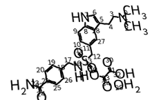 CN(C)CCc1c[nH]c2ccc(CS(=O)(=O)NCc3ccc(C(N)=O)cc3)cc12.O.O=C(O)C(=O)O